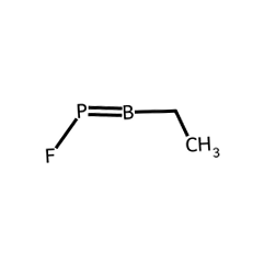 CCB=PF